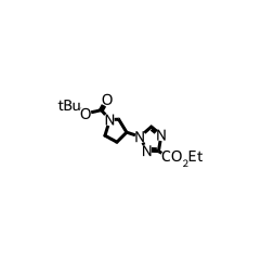 CCOC(=O)c1ncn(C2CCN(C(=O)OC(C)(C)C)C2)n1